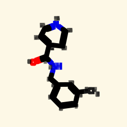 O=C(NCc1cccc(C(F)(F)F)c1)c1c[c]ncc1